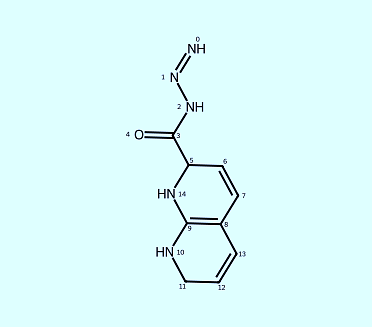 N=NNC(=O)C1C=CC2=C(NCC=C2)N1